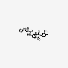 Cc1ccc(N2C(=O)[C@@H]3[C@H](C2=O)[C@@]2(C)C[C@@H](NC(=O)c4cc(-c5cccs5)[nH]n4)[C@]3(C)O2)cc1C(F)(F)F